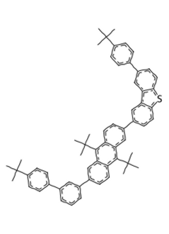 CC(C)(C)c1ccc(-c2cccc(-c3ccc4c(C(C)(C)C)c5cc(-c6ccc7sc8ccc(-c9ccc(C(C)(C)C)cc9)cc8c7c6)ccc5c(C(C)(C)C)c4c3)c2)cc1